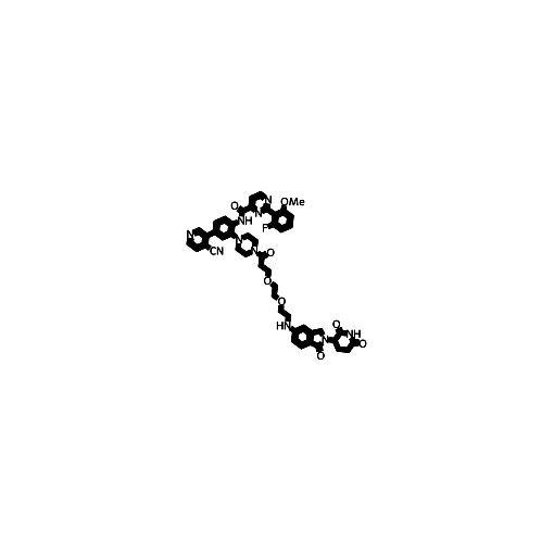 COc1cccc(F)c1-c1nccc(C(=O)Nc2ccc(-c3cnccc3C#N)cc2N2CCN(C(=O)CCOCCOCCNc3ccc4c(c3)CN(C3CCC(=O)NC3=O)C4=O)CC2)n1